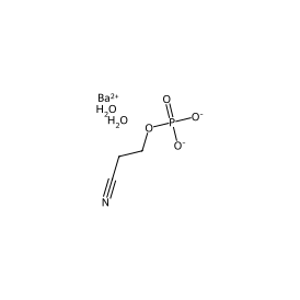 N#CCCOP(=O)([O-])[O-].O.O.[Ba+2]